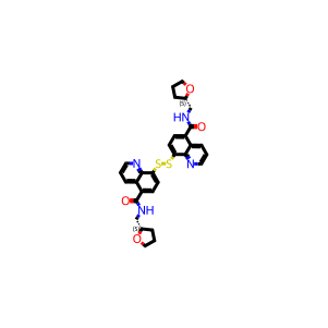 O=C(NC[C@@H]1CCCO1)c1ccc(SSc2ccc(C(=O)NC[C@@H]3CCCO3)c3cccnc23)c2ncccc12